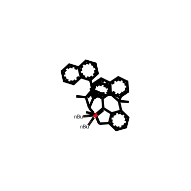 CCC[CH2][Ti]1([CH2]CCC)[CH]2C(C)=C(c3cccc4ccccc34)c3c2cccc3C(C)(C)c2cccc3c2C(c2cccc4ccccc24)=C(C)[CH]31